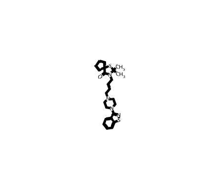 CC1(C)SC2(CCCC2)C(=O)N1CCCCN1CCN(c2nsc3ccccc23)CC1